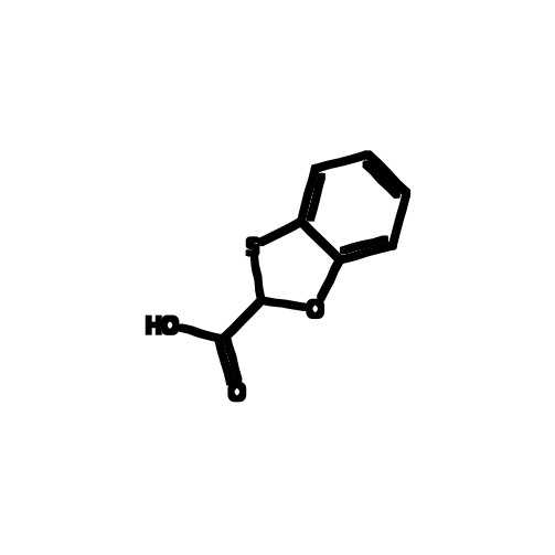 O=C(O)C1Oc2ccccc2S1